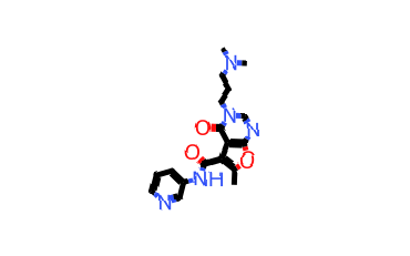 Cc1oc2ncn(CCCN(C)C)c(=O)c2c1C(=O)Nc1cccnc1